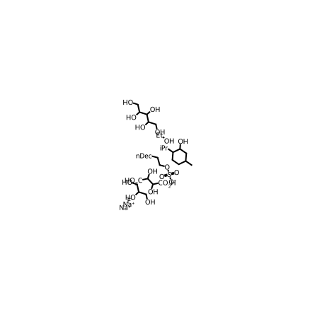 CC1CCC(C(C)C)C(O)C1.CCCCCCCCCCCCOS(=O)(=O)[O-].CCO.O=C(O)C(O)C(O)C(=O)O.OCC(O)C(O)C(O)CO.OCC(O)CO.[F-].[Na+].[Na+]